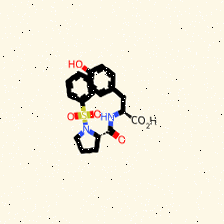 O=C(O)[C@H](Cc1ccc(O)cc1)NC(=O)[C@@H]1CCCN1S(=O)(=O)c1ccccc1